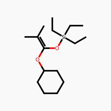 CC[Si](CC)(CC)OC(OC1CCCCC1)=C(C)C